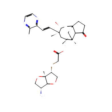 Cc1nccnc1/C=C/[C@@]1(C)C[C@@H](OC(=O)CS[C@H]2COC3[C@@H](N)CO[C@@H]32)[C@]2(C)[C@H](C)CC[C@]3(CCC(=O)[C@H]32)C[C@@H]1O